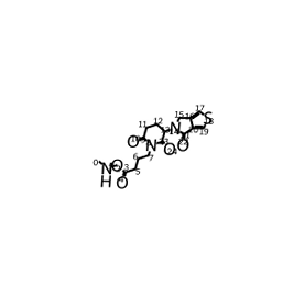 CNOC(=O)CCCN1C(=O)CCC(N2Cc3cscc3C2=O)C1=O